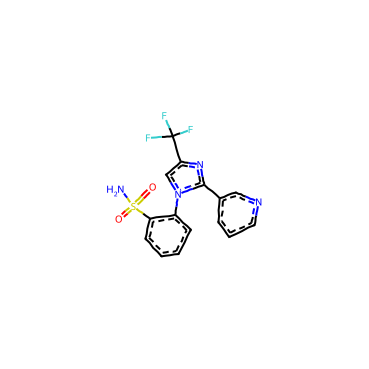 NS(=O)(=O)c1ccccc1-n1cc(C(F)(F)F)nc1-c1cccnc1